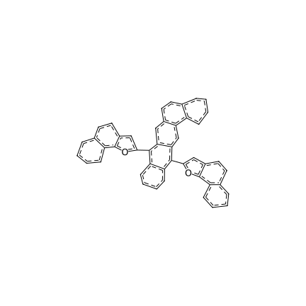 c1ccc2c(c1)ccc1cc3c(-c4cc5ccc6ccccc6c5o4)c4ccccc4c(-c4cc5ccc6ccccc6c5o4)c3cc12